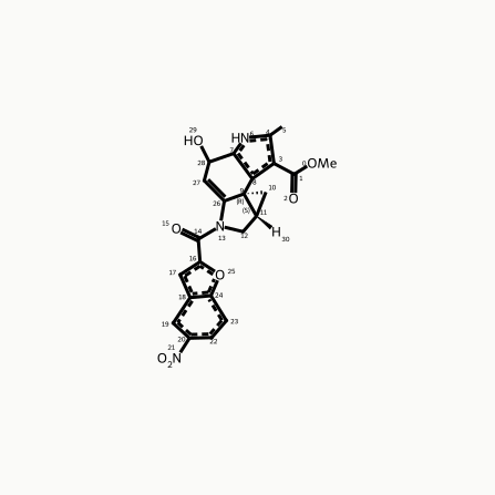 COC(=O)c1c(C)[nH]c2c1[C@@]13C[C@@H]1CN(C(=O)c1cc4cc([N+](=O)[O-])ccc4o1)C3=CC2O